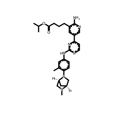 Cc1cc(Nc2nccc(-c3cnc(N)c(CCCC(=O)OC(C)C)c3)n2)ccc1N1C[C@@H]2C[C@H]1CN2C